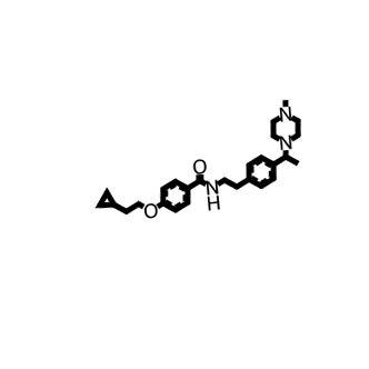 CC(c1ccc(CCNC(=O)c2ccc(OCCC3CC3)cc2)cc1)N1CCN(C)CC1